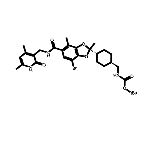 Cc1cc(C)c(CNC(=O)c2cc(Br)c3c(c2C)OC(C)([C@H]2CC[C@H](CNC(=O)OC(C)(C)C)CC2)O3)c(=O)[nH]1